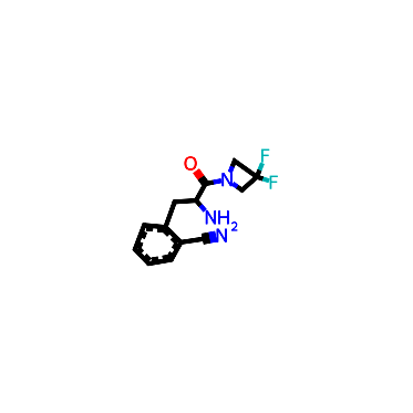 N#Cc1ccccc1CC(N)C(=O)N1CC(F)(F)C1